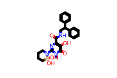 Cn1c(N2CCCCS2(O)O)nc(C(=O)NCC(c2ccccc2)c2ccccc2)c(O)c1=O